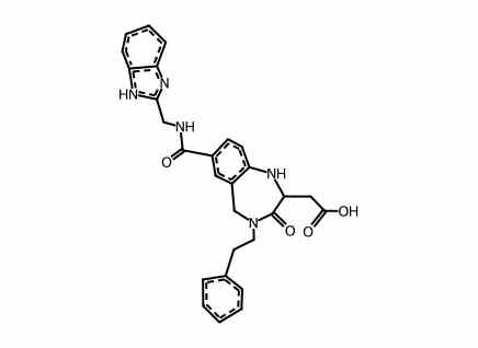 O=C(O)CC1Nc2ccc(C(=O)NCc3nc4ccccc4[nH]3)cc2CN(CCc2ccccc2)C1=O